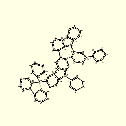 C1=CC(n2c3ccc(-c4cccc5c6ccccc6n(-c6cccc(-c7ccccc7)c6)c45)cc3c3cc(C4(c5ccccc5)c5ccccc5-c5ccccc54)ccc32)=CCC1